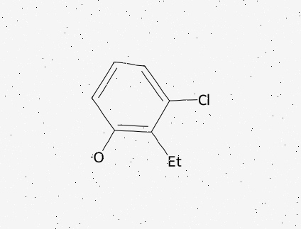 CCc1c([O])cccc1Cl